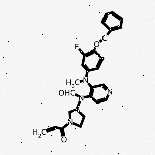 C=CC(=O)N1CCC(N(C=O)c2ccncc2N(C)c2ccc(OCc3ccccc3)c(F)c2)C1